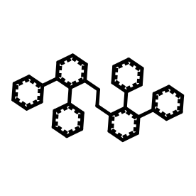 c1ccc(-c2cccc(CCc3cccc(-c4ccccc4)c3-c3ccccc3)c2-c2ccccc2)cc1